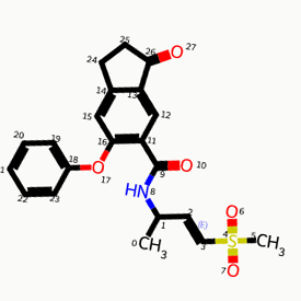 CC(/C=C/S(C)(=O)=O)NC(=O)c1cc2c(cc1Oc1ccccc1)CCC2=O